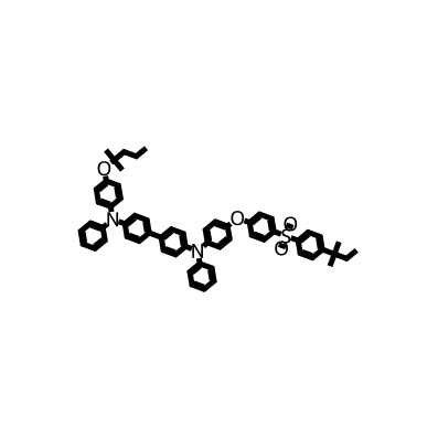 CCCC(C)(C)Oc1ccc(N(c2ccccc2)c2ccc(-c3ccc(N(c4ccccc4)c4ccc(Oc5ccc(S(=O)(=O)c6ccc(C(C)(C)CC)cc6)cc5)cc4)cc3)cc2)cc1